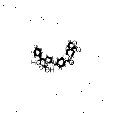 O=C(c1ccc(C[C@@H]2CC[C@H]([C@H](O)c3ccccc3)N2C(=O)O)cc1)N1CCC2(CCOC2=O)CC1